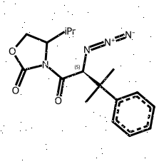 CC(C)C1COC(=O)N1C(=O)[C@@H](N=[N+]=[N-])C(C)(C)c1ccccc1